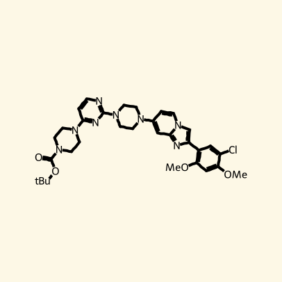 COc1cc(OC)c(-c2cn3ccc(N4CCN(c5nccc(N6CCN(C(=O)OC(C)(C)C)CC6)n5)CC4)cc3n2)cc1Cl